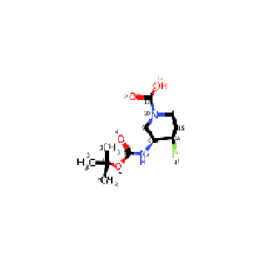 CC(C)(C)OC(=O)N[C@H]1CN(C(=O)O)CCC1F